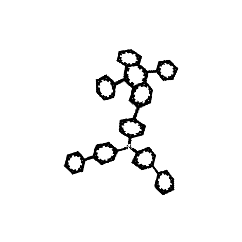 c1ccc(-c2ccc(N(c3ccc(-c4ccccc4)cc3)c3ccc(-c4ccc5c(-c6ccccc6)c6ccccc6c(-c6ccccc6)c5c4)cc3)cc2)cc1